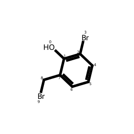 Oc1c(Br)cccc1CBr